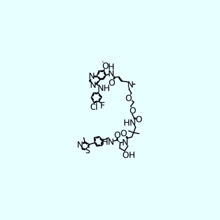 COc1cc2ncnc(Nc3ccc(Cl)c(F)c3)c2cc1NC(=O)/C=C/CN(C)CCOCCOCC(=O)NCC(C)(C)CC(=O)N1C[C@H](O)C[C@H]1C(=O)NCc1ccc(-c2scnc2C)cc1